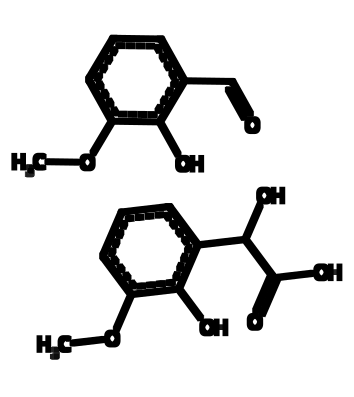 COc1cccc(C(O)C(=O)O)c1O.COc1cccc(C=O)c1O